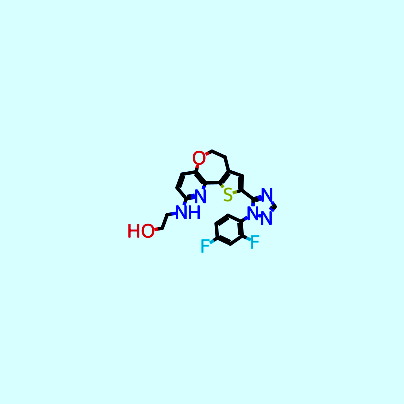 OCCNc1ccc2c(n1)-c1sc(-c3ncnn3-c3ccc(F)cc3F)cc1CCO2